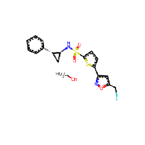 O=C(O)O.O=S(=O)(N[C@H]1C[C@@H]1c1ccccc1)c1ccc(-c2cc(CF)on2)s1